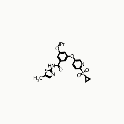 Cc1cnc(NC(=O)c2cc(Oc3ccc(S(=O)(=O)C4CC4)nc3)cc(OC(C)C)c2)s1